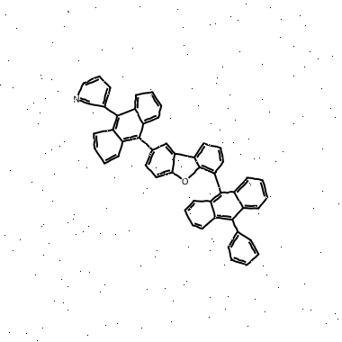 c1ccc(-c2c3ccccc3c(-c3cccc4c3oc3ccc(-c5c6ccccc6c(-c6cccnc6)c6ccccc56)cc34)c3ccccc23)cc1